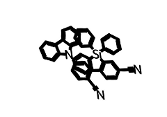 N#Cc1ccc(-c2cc(-n3c4ccccc4c4ccccc43)ccc2C#N)c([Si](c2ccccc2)(c2ccccc2)c2ccccc2)c1